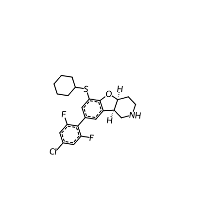 Fc1cc(Cl)cc(F)c1-c1cc(SC2CCCCC2)c2c(c1)[C@@H]1CNCC[C@@H]1O2